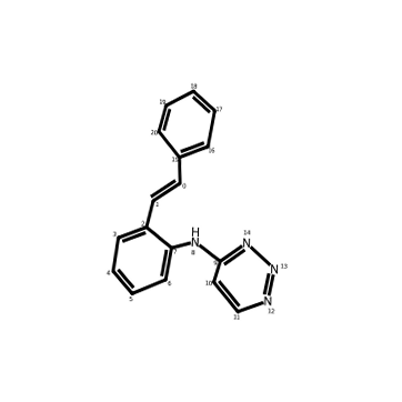 C(=Cc1ccccc1Nc1ccnnn1)c1ccccc1